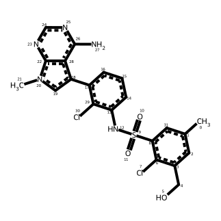 Cc1cc(CO)c(Cl)c(S(=O)(=O)Nc2cccc(-c3cn(C)c4ncnc(N)c34)c2Cl)c1